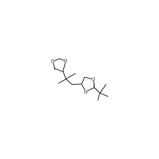 CC(C)(C)C1OCC(CC(C)(C)C2COCO2)O1